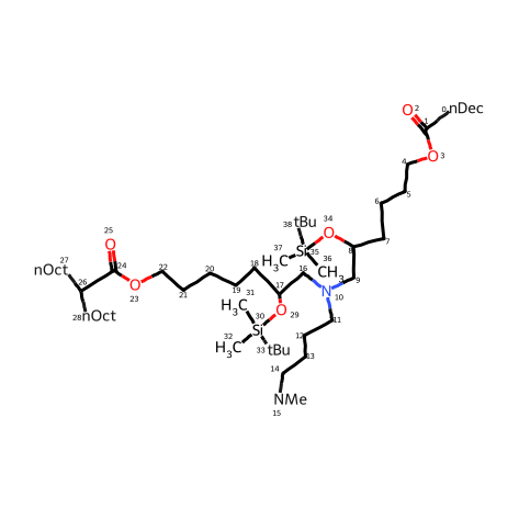 CCCCCCCCCCC(=O)OCCCCC(CN(CCCCNC)CC(CCCCCOC(=O)C(CCCCCCCC)CCCCCCCC)O[Si](C)(C)C(C)(C)C)O[Si](C)(C)C(C)(C)C